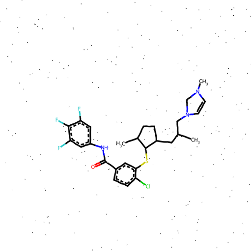 CC(CC1CCC(C)C1Sc1cc(C(=O)Nc2cc(F)c(F)c(F)c2)ccc1Cl)CN1C=CN(C)C1